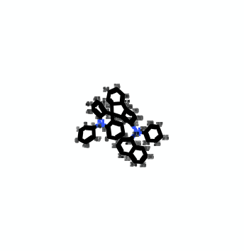 c1ccc(N2c3ccccc3C3(c4ccccc4-c4ccc(N(c5ccccc5)c5cccc6ccccc56)cc43)c3ccccc32)cc1